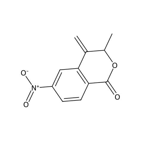 C=C1c2cc([N+](=O)[O-])ccc2C(=O)OC1C